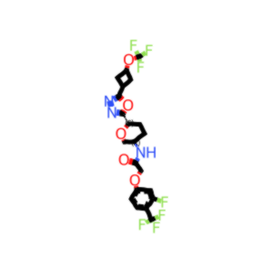 O=C(COc1ccc(C(F)(F)F)c(F)c1)N[C@@H]1CC[C@@H](c2nnc(C3CC(OC(F)(F)F)C3)o2)OC1